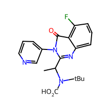 CC(c1nc2cccc(F)c2c(=O)n1-c1cccnc1)N(C(=O)O)C(C)(C)C